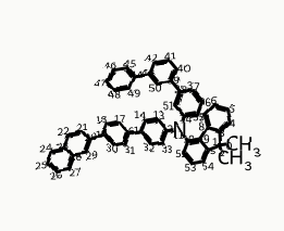 CC1(C)c2ccccc2-c2c(N(c3ccc(-c4ccc(-c5ccc6ccccc6c5)cc4)cc3)c3cccc(-c4cccc(-c5ccccc5)c4)c3)cccc21